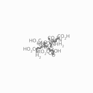 CCOC(=O)C1(CSCC(NC(=O)CCC(N)C(=O)O)C(=O)NCC(=O)O)OC(=O)C(O)=C1SCC(NC(=O)CCC(N)C(=O)O)C(=O)NCC(=O)O